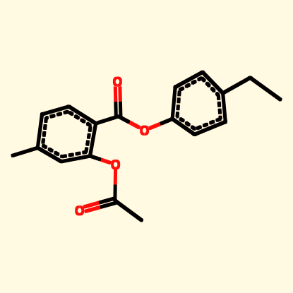 CCc1ccc(OC(=O)c2ccc(C)cc2OC(C)=O)cc1